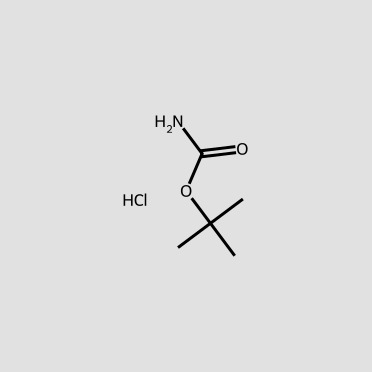 CC(C)(C)OC(N)=O.Cl